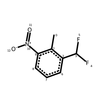 Cc1c(C(F)F)cccc1[N+](=O)[O-]